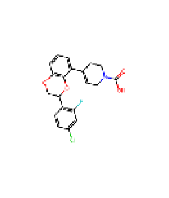 O=C(O)N1CC=C(c2cccc3c2OC(c2ccc(Cl)cc2F)CO3)CC1